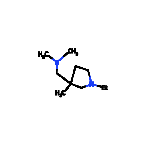 CCN1CCC(C)(CN(C)C)C1